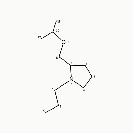 CCCN1CCCC1COC(C)C